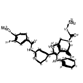 COc1ccc(C(=O)NC2=NCCC(c3[nH]c4c(c3NC3=C=C=CC=C3)C(=O)CN(C(=O)SC(C)(C)C)C4)=C2)cc1F